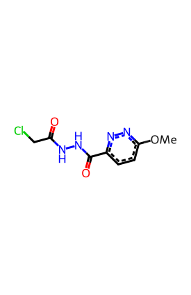 COc1ccc(C(=O)NNC(=O)CCl)nn1